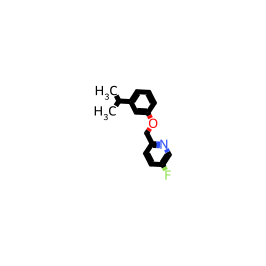 CC(C)c1cccc(OCc2ccc(F)cn2)c1